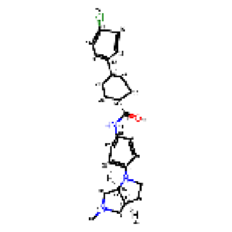 CN1C[C@@H]2CCN(c3ccc(NC(=O)[C@H]4CC[C@H](c5ccc(Cl)cc5)CC4)cc3)[C@@H]2C1